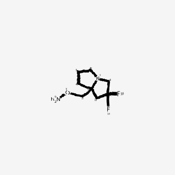 NOCC12CCCN1CC(F)(F)C2